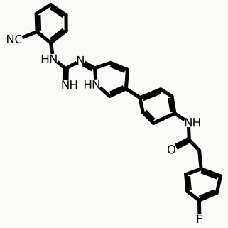 N#Cc1ccccc1NC(=N)/N=c1/ccc(-c2ccc(NC(=O)Cc3ccc(F)cc3)cc2)c[nH]1